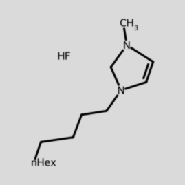 CCCCCCCCCCN1C=CN(C)C1.F